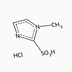 Cl.Cn1ccnc1S(=O)(=O)O